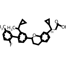 Cc1ccc(F)c(-c2ccc(C3CCc4ccc([C@@H](CC(=O)O)C5CC5)cc4O3)cc2C(C)C2CC2)c1